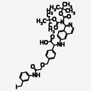 CC(C)(C)OC(=O)N(C(=O)OC(C)(C)C)c1nccc2cc(NC(C(=O)O)c3ccc(COCC(=O)Nc4cccc(CI)c4)cc3)ccc12